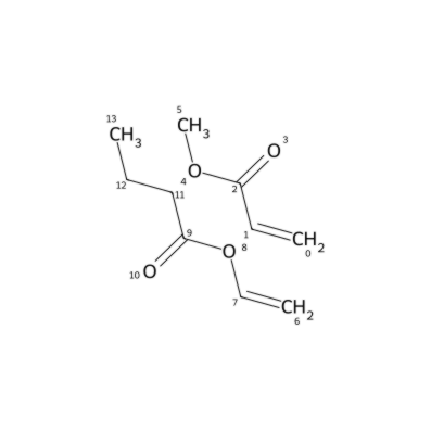 C=CC(=O)OC.C=COC(=O)CCC